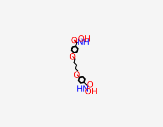 O=C(NO)c1ccc(OCCCCCOc2ccc(C(=O)NO)cc2)cc1